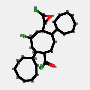 O=C(Cl)C1CCC(C2CCCCCCC2)C(C2OC2Cl)CC(F)CC1C1CCCCCCCC1